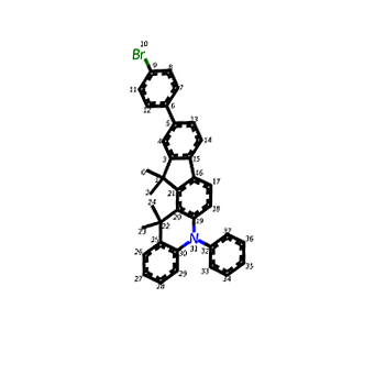 CC1(C)c2cc(-c3ccc(Br)cc3)ccc2-c2ccc3c(c21)C(C)(C)c1ccccc1N3c1ccccc1